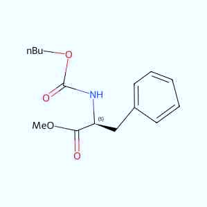 CCCCOC(=O)N[C@@H](Cc1ccccc1)C(=O)OC